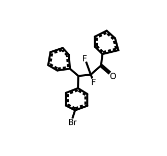 O=C(c1ccccc1)C(F)(F)C(c1ccccc1)c1ccc(Br)cc1